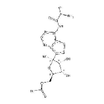 CCC(=O)OC[C@H]1O[C@@](C#N)(c2ccc3c(NC(=O)C(N)C(C)C)ncnn23)[C@H](O)[C@@H]1O